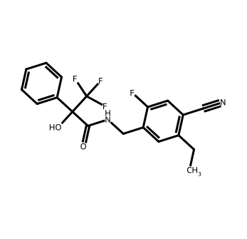 CCc1cc(CNC(=O)C(O)(c2ccccc2)C(F)(F)F)c(F)cc1C#N